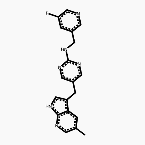 Cc1cnc2[nH]cc(Cc3cnc(NCc4cncc(F)c4)nc3)c2c1